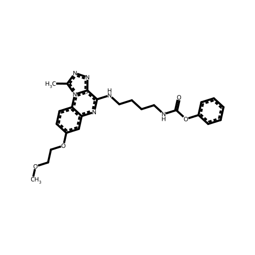 COCCOc1ccc2c(c1)nc(NCCCCNC(=O)Oc1ccccc1)c1nnc(C)n12